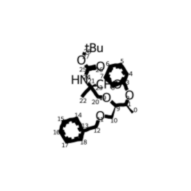 C[C@H](Oc1ccccc1)[C@@H](COCc1ccccc1)OC[C@@](C)(C=O)NC(=O)OC(C)(C)C